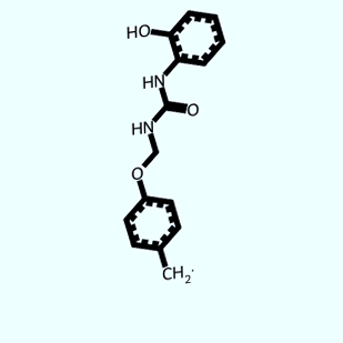 [CH2]c1ccc(OCNC(=O)Nc2ccccc2O)cc1